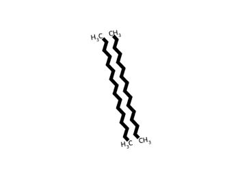 CCCCCCCCCCCCCCCC.CCCCCCCCCCCCCCCC